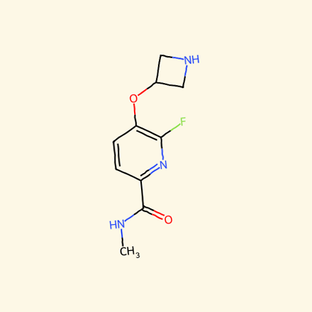 CNC(=O)c1ccc(OC2CNC2)c(F)n1